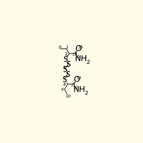 CCC(SSSSSC(CC)C(N)=O)C(N)=O